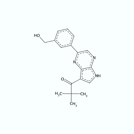 CC(C)(C)C(=O)c1c[nH]c2ncc(-c3cccc(CO)c3)nc12